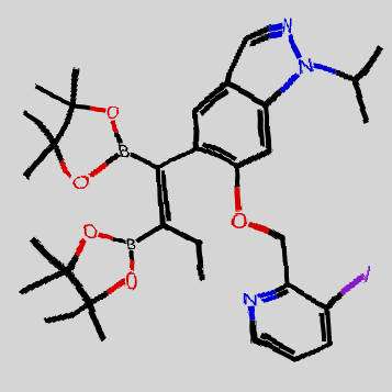 CCC(B1OC(C)(C)C(C)(C)O1)=C(B1OC(C)(C)C(C)(C)O1)c1cc2cnn(C(C)C)c2cc1OCc1ncccc1I